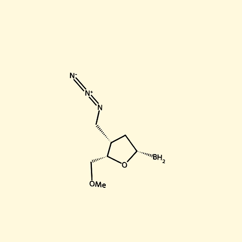 B[C@H]1C[C@@H](CN=[N+]=[N-])[C@@H](COC)O1